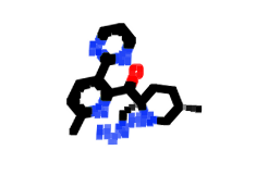 Cc1ccc(-c2ncccn2)c(C(=O)[C@@]2(CN)CC[C@H](C)CN2)n1